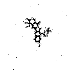 CCC1(O)C(=O)OCc2c1cc1n(c2=O)Cc2c-1nc1ccc(OC)cc1c2C(=N)OC(C)(C)C